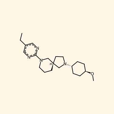 CCc1cnc(N2CCC[C@]3(CCN([C@H]4CC[C@H](OC)CC4)C3)C2)nc1